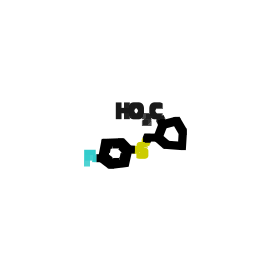 O=C(O)C1CCCCC1CSc1ccc(F)cc1